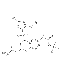 CCc1nc(S(=O)(=O)N2CC(CC(C)C(=O)O)Oc3ccc(NC(=O)OC(C)(C)C(F)(F)F)cc32)c(OC(C)C)s1